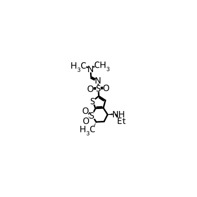 CCN[C@H]1C[C@H](C)S(=O)(=O)c2sc(S(=O)(=O)N=CN(C)C)cc21